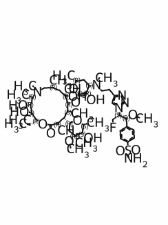 CC[C@H]1OC(=O)[C@H](C)C([C@H]2C[C@@](C)(OC)[C@@H](O)[C@H](C)O2)[C@H](C)[C@@H](O[C@@H]2O[C@H](C)C[C@H](N(C)CCc3cn([C@H](CF)[C@H](OC)c4ccc(S(N)(=O)=O)cc4)nn3)[C@H]2O)[C@](C)(O)C[C@@H](C)CN(C)[C@H](C)[C@@H](O)[C@]1(C)O